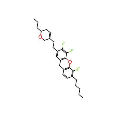 CCCCCc1ccc2c(c1F)Oc1c(cc(CCC3=CCC(CCC)OC3)c(F)c1F)C2